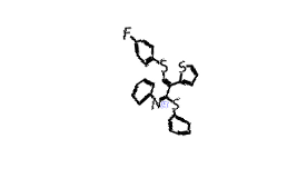 Fc1ccc(SC=C(/C(=N\c2ccccc2)Sc2ccccc2)c2cccs2)cc1